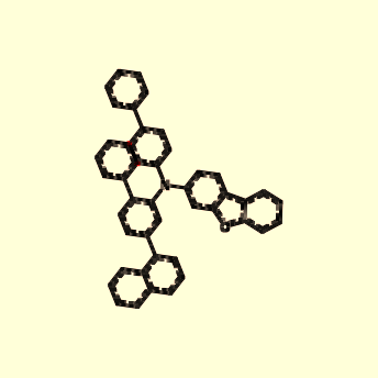 c1ccc(-c2ccc(N(c3ccc4c(c3)oc3ccccc34)c3cc(-c4cccc5ccccc45)ccc3-c3ccccc3)cc2)cc1